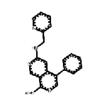 CNc1ncc(-c2ccccc2)c2cc(NCc3ccccn3)ncc12